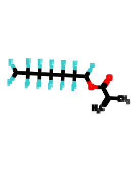 C=C(C)C(=O)OC(F)C(F)(F)C(F)(F)C(F)(F)C(F)(F)C(F)(F)C(F)F